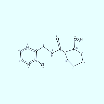 O=C(NCc1nccnc1Cl)C1CCCCN1C(=O)O